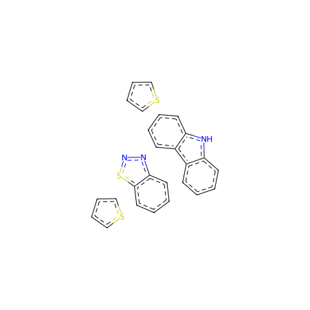 c1ccc2c(c1)[nH]c1ccccc12.c1ccc2snnc2c1.c1ccsc1.c1ccsc1